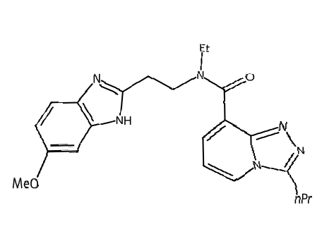 CCCc1nnc2c(C(=O)N(CC)CCc3nc4ccc(OC)cc4[nH]3)cccn12